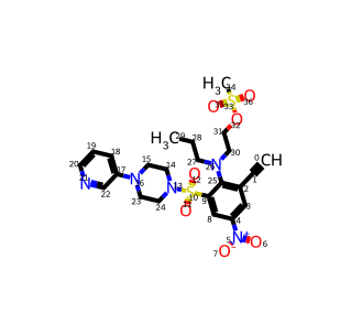 C#Cc1cc([N+](=O)[O-])cc(S(=O)(=O)N2CCN(c3cccnc3)CC2)c1N(CCC)CCOS(C)(=O)=O